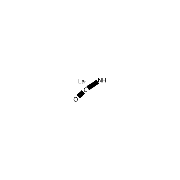 N=C=O.[La]